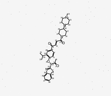 CC(=O)N(Oc1ccc(C(=O)/C=C/C(=O)N2CCC(N3CCN(C)CC3)CC2)cc1C(C)C)c1nc2ccccc2s1